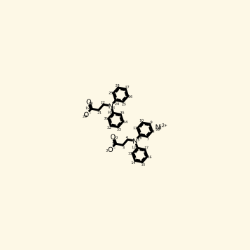 O=C([O-])CCN(c1ccccc1)c1ccccc1.O=C([O-])CCN(c1ccccc1)c1ccccc1.[Ni+2]